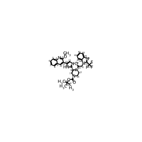 COc1nc2ccccc2cc1-c1cnc([C@@H]2CN(C(=O)OC(C)(C)C)CCN2C(=O)Cn2c(C(F)(F)F)nc3ccccc32)[nH]1